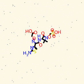 CC1(C)[C@H](NC(=O)C(=NOCC(=O)O)c2csc(N)n2)C(=O)N1OCS(=O)(=O)O